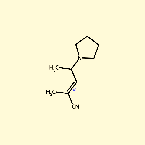 C/C(C#N)=C\C(C)N1CCCC1